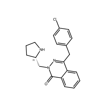 O=c1c2ccccc2c(Cc2ccc(Cl)cc2)nn1C[C@@H]1CCCN1